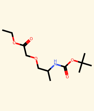 CCOC(=O)COCC(C)NC(=O)OC(C)(C)C